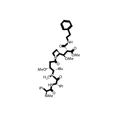 CCC(C)[C@@H]([C@@H](CC(=O)N1CC[C@H]1[C@H](OC)[C@H](C(=O)NCCc1ccccc1)C(=O)OC)OC)N(C)C(=O)[C@@H](NC(=O)[C@@H](NC)C(C)C)C(C)C